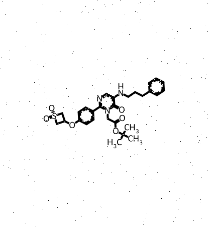 CC(C)(C)OC(=O)Cn1c(-c2ccc(OC3CS(=O)(=O)C3)cc2)ncc(NCCCc2ccccc2)c1=O